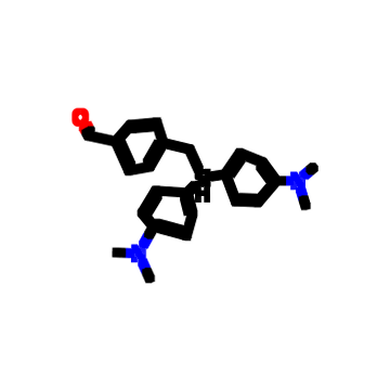 CN(C)c1ccc([SiH](Cc2ccc(C=O)cc2)c2ccc(N(C)C)cc2)cc1